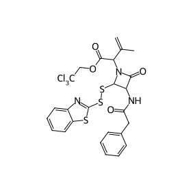 C=C(C)C(C(=O)OCC(Cl)(Cl)Cl)N1C(=O)C(NC(=O)Cc2ccccc2)C1SSc1nc2ccccc2s1